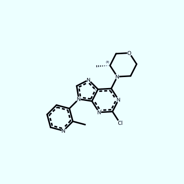 Cc1ncccc1-n1cnc2c(N3CCOC[C@H]3C)nc(Cl)nc21